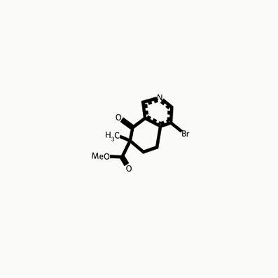 COC(=O)C1(C)CCc2c(Br)cncc2C1=O